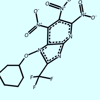 O=[N+]([O-])c1nc2nc(C(F)(F)F)n(OC3CCCCC3)c2c([N+](=O)[O-])c1[N+](=O)[O-]